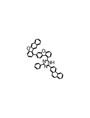 c1ccc(C2=NC(c3cccc4oc5cc(-c6cccc7oc8cc9ccccc9cc8c67)ccc5c34)NC(c3ccc4c(ccc5ccccc54)c3)=N2)cc1